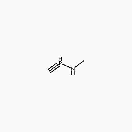 C#[PH]NC